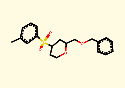 Cc1cccc(S(=O)(=O)C2CCOC(COCc3ccccc3)C2)c1